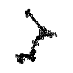 Cc1cccc(-c2nc(CNc3ccc(Br)c(C(=O)NS(C)(=O)=O)c3)[nH]c2-c2ccc3ncc(OCCNC(=O)OCc4ccc(NC(=O)C(CCCNC(N)=O)NC(=O)C(NC(=O)CCOCCOCCOCCOCCN5C(=O)C=CC5=O)C(C)C)cc4)cc3n2)n1